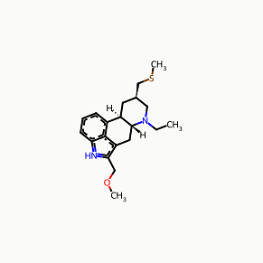 CCN1C[C@H](CSC)C[C@@H]2c3cccc4[nH]c(COC)c(c34)C[C@H]21